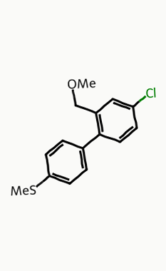 COCc1cc(Cl)ccc1-c1ccc(SC)cc1